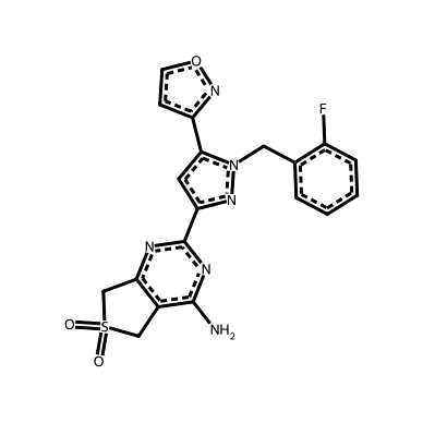 Nc1nc(-c2cc(-c3ccon3)n(Cc3ccccc3F)n2)nc2c1CS(=O)(=O)C2